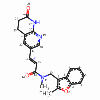 Cc1oc2ccccc2c1CN(C)C(=O)/C=C/c1cnc2c(c1)CCC(=O)N2